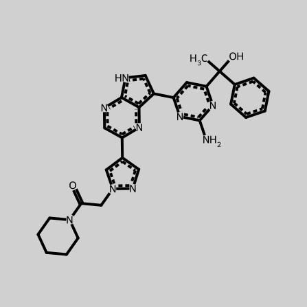 CC(O)(c1ccccc1)c1cc(-c2c[nH]c3ncc(-c4cnn(CC(=O)N5CCCCC5)c4)nc23)nc(N)n1